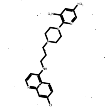 O=[N+]([O-])c1cnc(N2CCN(CCCNc3ccnc4cc(Cl)ccc34)CC2)c([N+](=O)[O-])c1